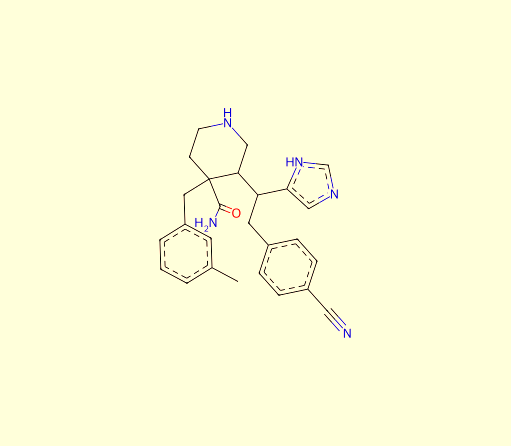 Cc1cccc(CC2(C(N)=O)CCNCC2C(Cc2ccc(C#N)cc2)c2cnc[nH]2)c1